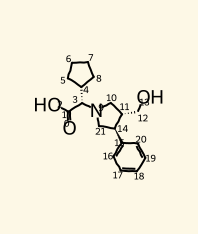 O=C(O)[C@H](C1CCCC1)N1C[C@H](CO)[C@@H](c2ccccc2)C1